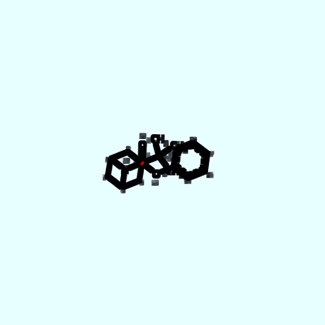 CC(C)(C)N1CC2CC(C1)N2C(=O)Oc1ccccc1